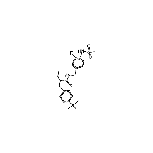 CCC(Cc1ccc(C(C)(C)C)cc1)C(=S)NCc1ccc(NS(C)(=O)=O)c(F)c1